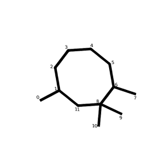 CC1CCCCC(C)C(C)(C)C1